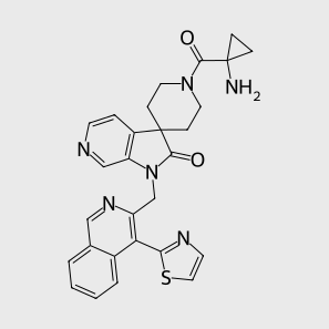 NC1(C(=O)N2CCC3(CC2)C(=O)N(Cc2ncc4ccccc4c2-c2nccs2)c2cnccc23)CC1